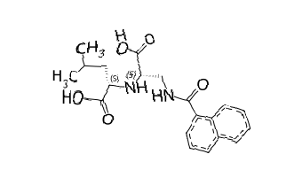 CC(C)C[C@H](N[C@@H](CNC(=O)c1cccc2ccccc12)C(=O)O)C(=O)O